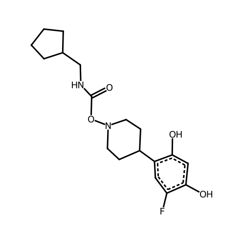 O=C(NCC1CCCC1)ON1CCC(c2cc(F)c(O)cc2O)CC1